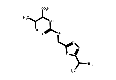 CC(N)c1nnc(CNC(=O)NC(C(=O)O)C(C)O)o1